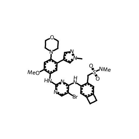 CNS(=O)(=O)Cc1cc2c(cc1Nc1nc(Nc3cc(-c4cnn(C)c4)c(N4CCOCC4)cc3OC)ncc1Br)CC2